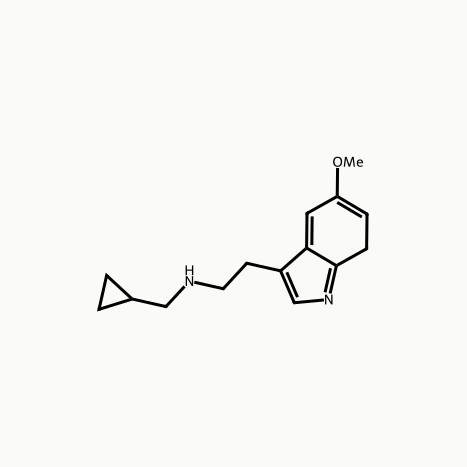 COC1=CCC2=NC=C(CCNCC3CC3)C2=C1